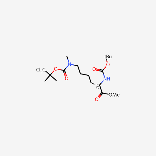 COC(=O)[C@H](CCCCN(C)C(=O)OC(C)(C)C(Cl)(Cl)Cl)NC(=O)OC(C)(C)C